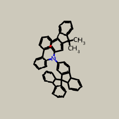 CC1(C)c2ccccc2-c2ccc(N(c3ccc4c(c3)C3(c5ccccc5C5C=CC=CC53)C3C=CC=CC43)c3ccccc3-c3ccccc3)cc21